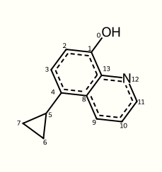 Oc1ccc(C2CC2)c2cccnc12